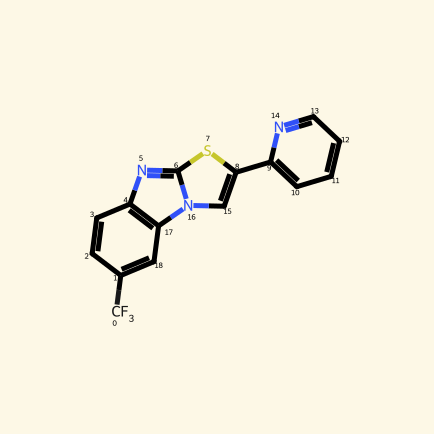 FC(F)(F)c1ccc2nc3sc(-c4ccccn4)cn3c2c1